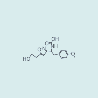 COc1ccc(CC(NC(=O)O)c2cc(CCO)on2)cc1